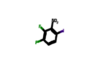 O=[N+]([O-])c1c(I)ccc(F)c1F